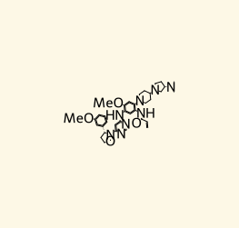 C=CC(=O)Nc1cc(Nc2cc(N3OCC[C@@H]3c3cccc(OC)c3)ncn2)c(OC)cc1N1CCC(N2CC[C@H](N(C)C)C2)CC1